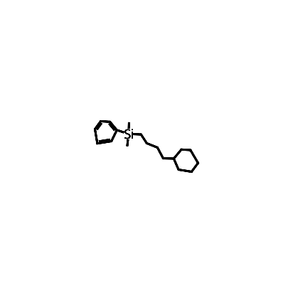 C[Si](C)(CCCCC1CCCCC1)c1ccccc1